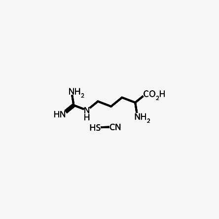 N#CS.N=C(N)NCCCC(N)C(=O)O